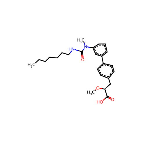 CCCCCCCNC(=O)N(C)c1cccc(-c2ccc(C[C@H](OC)C(=O)O)cc2)c1